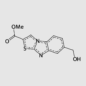 COC(=O)c1cn2c(nc3cc(CO)ccc32)s1